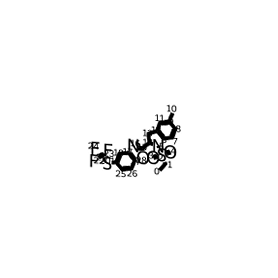 CCS(=O)(=O)N1c2ccc(C)cc2CC1c1nc2cc(SC(F)(F)F)ccc2o1